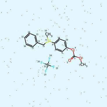 COC(=O)Oc1ccc([S+](C)Cc2ccccc2)cc1.F[B-](F)(F)F